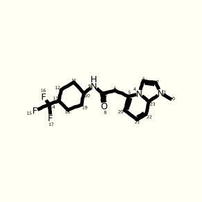 CN1C=CN2C(CC(=O)NC3CCC(C(F)(F)F)CC3)=CC=CC12